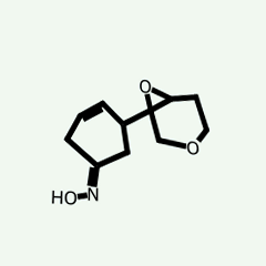 ON=C1CC=CC(C23COCCC2O3)C1